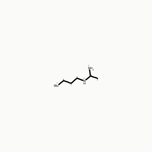 CC(N)NCCCC(C)(C)C